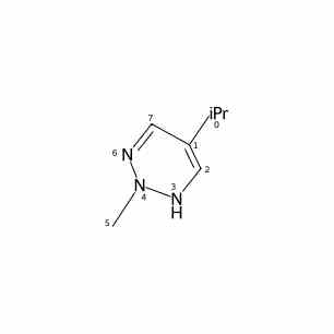 CC(C)C1=CNN(C)N=C1